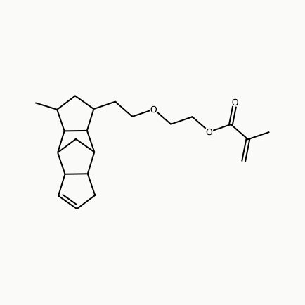 C=C(C)C(=O)OCCOCCC1CC(C)C2C3CC(C4CC=CC43)C12